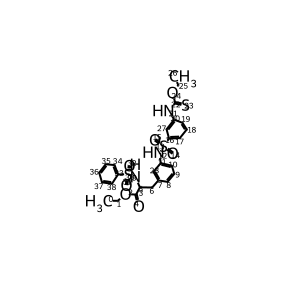 CCOC(=O)C(Cc1cccc(NS(=O)(=O)c2cccc(NC(=S)OCC)c2)c1)NS(=O)(=O)c1ccccc1